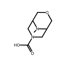 CN1C2COCC1CN(C(=O)O)C2